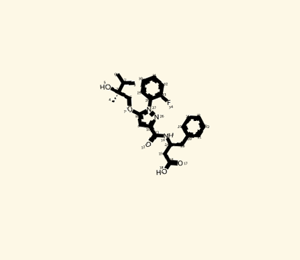 CC(C)[C@](C)(O)COc1cc(C(=O)NC(CC(=O)O)Cc2ccccc2)nn1-c1ccccc1F